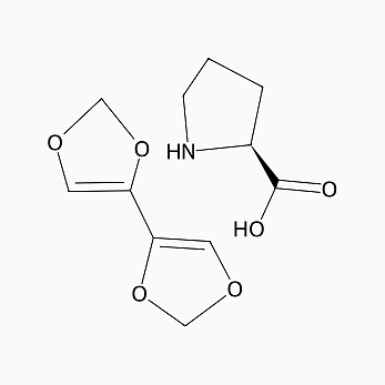 C1=C(C2=COCO2)OCO1.O=C(O)[C@@H]1CCCN1